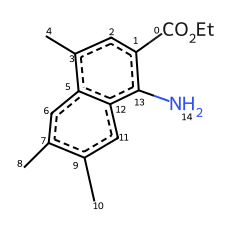 CCOC(=O)c1cc(C)c2cc(C)c(C)cc2c1N